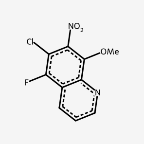 COc1c([N+](=O)[O-])c(Cl)c(F)c2cccnc12